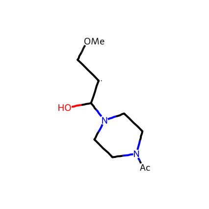 COC[CH]C(O)N1CCN(C(C)=O)CC1